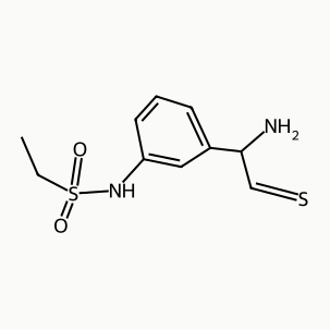 CCS(=O)(=O)Nc1cccc(C(N)C=S)c1